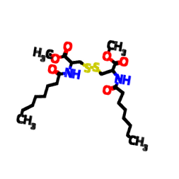 CCCCCCCC(=O)NC(CSSCC(NC(=O)CCCCCCC)C(=O)OC)C(=O)OC